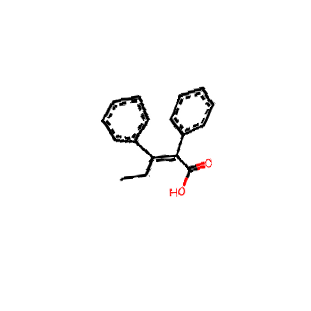 C[CH]C(=C(C(=O)O)c1ccccc1)c1ccccc1